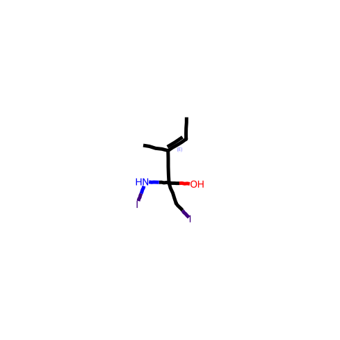 C/C=C(\C)C(O)(CI)NI